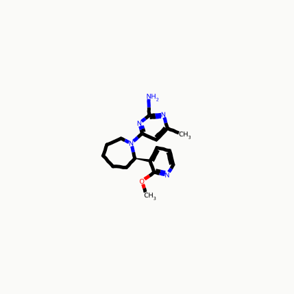 COc1ncccc1[C@H]1CCCCCN1c1cc(C)nc(N)n1